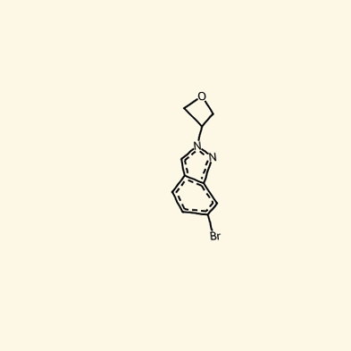 Brc1ccc2cn(C3COC3)nc2c1